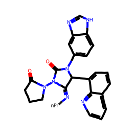 CCCN=C1C(c2cccc3cccnc23)N(c2ccc3[nH]cnc3c2)C(=O)N1N1CCCC1=O